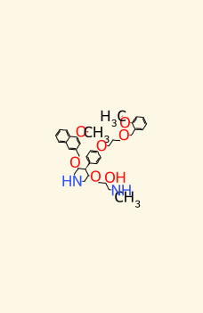 CNCC(O)CO[C@@H]1CNC[C@H](OCc2cc(OC)c3ccccc3c2)[C@H]1c1ccc(OCCCOCc2ccccc2OC)cc1